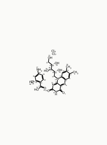 Cc1cc2nc3c(=O)[nH]c(=O)nc-3n(C[C@@H](O)[C@@H](O)[C@@H](O)CO)c2cc1C.Nc1ccc(C(=O)O)cc1.[Cl-].[Cl-].[Cl-].[Fe+3]